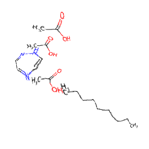 C1=CNN=CC=N1.CC(=O)O.CC(=O)O.CC(=O)O.CCCCCCCCC